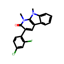 Cn1c(=O)c(-c2ccc(Cl)cc2F)cc2c3ccccc3n(C)c21